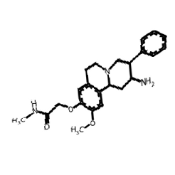 CNC(=O)COc1cc2c(cc1OC)C1CC(N)C(c3ccccc3)CN1CC2